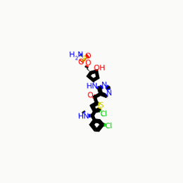 CNC(c1cccc(Cl)c1)c1cc(C(=O)c2cncnc2N[C@@H]2C[C@H](COS(N)(=O)=O)[C@@H](O)C2)sc1Cl